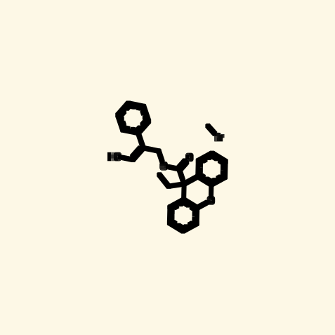 CBr.CCC1(C(=O)OCC(=CO)c2ccccc2)c2ccccc2Oc2ccccc21